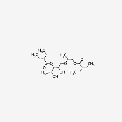 CCC(CC)C(=O)OCC(C)OCC(O)C(OC(=O)C(CC)CC)C(C)O